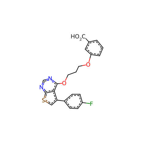 O=C(O)c1cccc(OCCCOc2ncnc3scc(-c4ccc(F)cc4)c23)c1